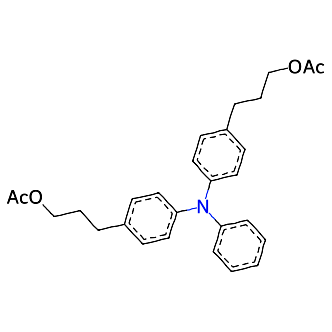 CC(=O)OCCCc1ccc(N(c2ccccc2)c2ccc(CCCOC(C)=O)cc2)cc1